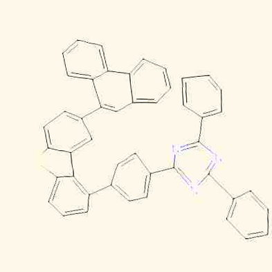 c1ccc(-c2nc(-c3ccccc3)nc(-c3ccc(-c4cccc5sc6ccc(-c7cc8ccccc8c8ccccc78)cc6c45)cc3)n2)cc1